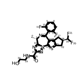 C[C@@H]1N=C(c2c(F)cccc2F)c2c(sc3c2C[C@@H](C(F)F)C3)-n2nc(C(=O)NCCO)nc21